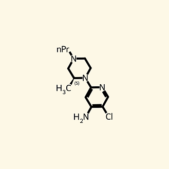 CCCN1CCN(c2cc(N)c(Cl)cn2)[C@@H](C)C1